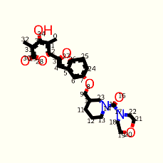 Cc1c(-c2cc3cc(OCC4CCCN(C(=O)N5CCOCC5)C4)ccc3o2)oc(=O)c(C)c1O